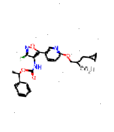 CC(OC(=O)Nc1c(F)noc1-c1ccc(OCC(CC2CC2)C(=O)O)nc1)c1ccccc1